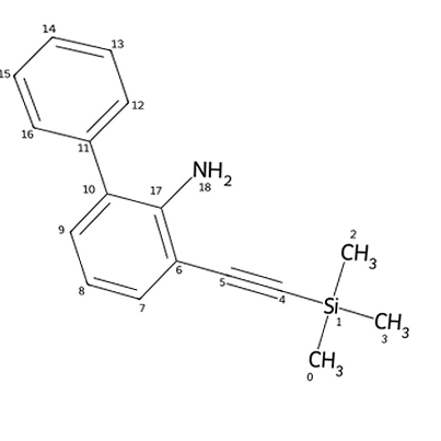 C[Si](C)(C)C#Cc1cccc(-c2ccccc2)c1N